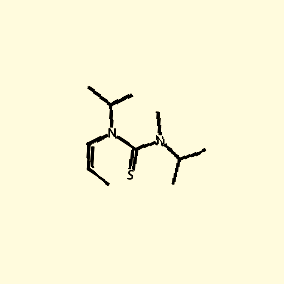 C/C=C\N(C(=S)N(C)C(C)C)C(C)C